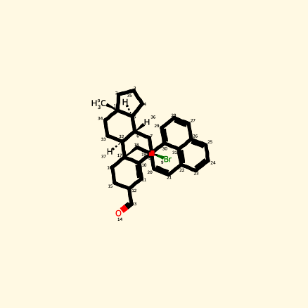 C[C@@]12CCC[C@H]1[C@@H]1C[C@@H](Br)C3=CC(C=O)CC[C@]3(CC3C=Cc4cccc5cccc3c45)[C@H]1CC2